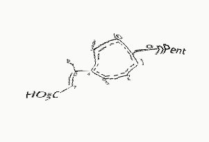 CCCCCc1ccc(C(C)=CC(=O)O)cc1